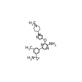 Cc1cc(-c2cnc(N)c(Oc3cnn(C4CCN(C)CC4)c3)n2)cc(C2(N)CC2)c1